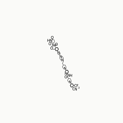 N#Cc1ccc(N2CCC(C(=O)Nc3ccc(N4CCC(CCN5CCN(C6CN(c7ccc8c(c7)COCN(C7CCC(=O)NC7=O)C8=O)C6)CC5)CC4)cn3)CC2)cc1C(F)(F)F